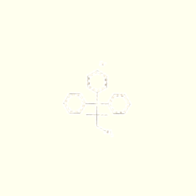 CC(C)(CN)[P+](c1ccccc1)(c1ccccc1)c1ccccc1.[Br-]